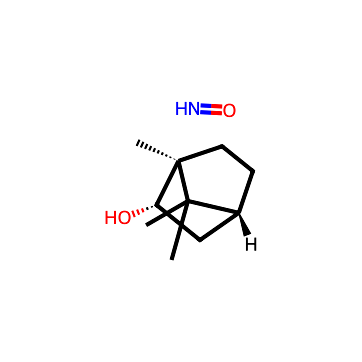 CC1(C)[C@@H]2CC[C@]1(C)[C@@H](O)C2.N=O